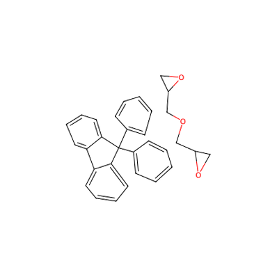 C(OCC1CO1)C1CO1.c1ccc(C2(c3ccccc3)c3ccccc3-c3ccccc32)cc1